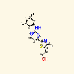 Cc1cc(C)cc(Nc2nccc(-c3nc(C)c(CCO)s3)n2)c1